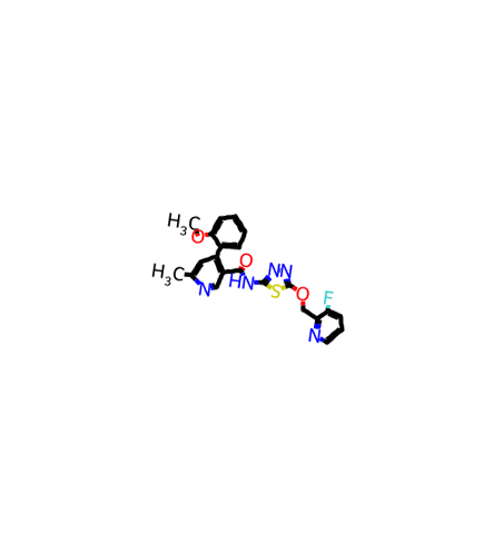 COc1ccccc1-c1cc(C)ncc1C(=O)Nc1nnc(OCc2ncccc2F)s1